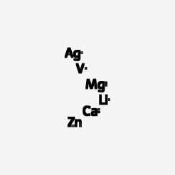 [Ag].[Ca].[Li].[Mg].[V].[Zn]